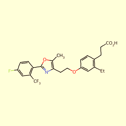 CCc1cc(OCCc2nc(-c3ccc(F)cc3C(F)(F)F)oc2C)ccc1CCC(=O)O